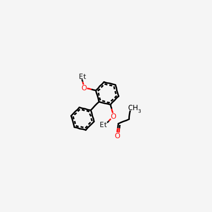 CCC=O.CCOc1cccc(OCC)c1-c1ccccc1